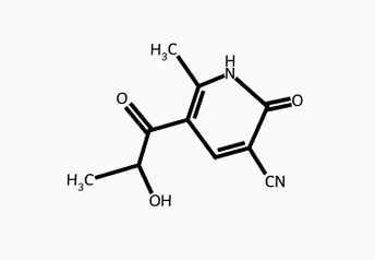 Cc1[nH]c(=O)c(C#N)cc1C(=O)C(C)O